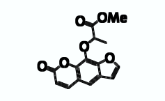 COC(=O)C(C)Oc1c2occc2cc2ccc(=O)oc12